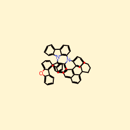 c1ccc(-n2c3ccccc3c3cccc(N(c4cccc(-c5cccc6oc7ccccc7c56)c4)c4ccccc4-c4cccc5cccc(C6CCCCC6)c45)c32)cc1